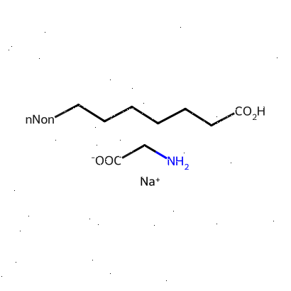 CCCCCCCCCCCCCCCC(=O)O.NCC(=O)[O-].[Na+]